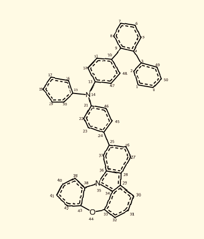 c1ccc(-c2ccccc2-c2ccc(N(c3ccccc3)c3ccc(-c4ccc5c6cccc7c6n(c5c4)-c4ccccc4O7)cc3)cc2)cc1